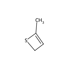 CC1=CCS1